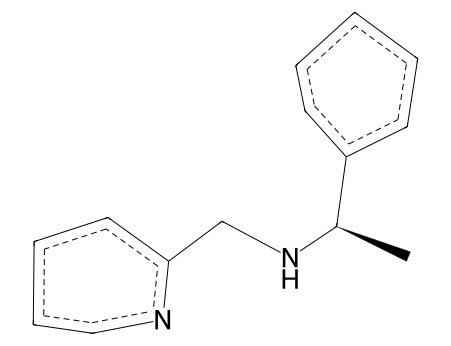 C[C@@H](NCc1ccccn1)c1ccccc1